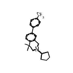 CC1(C)CN(C2CCCC2)Cc2cc(-c3ccc(C(F)(F)F)cc3)ccc21